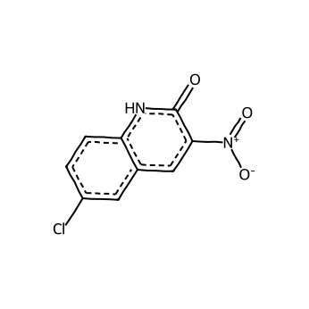 O=c1[nH]c2ccc(Cl)cc2cc1[N+](=O)[O-]